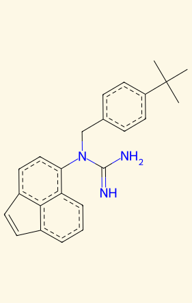 CC(C)(C)c1ccc(CN(C(=N)N)c2ccc3c4c(cccc24)C=C3)cc1